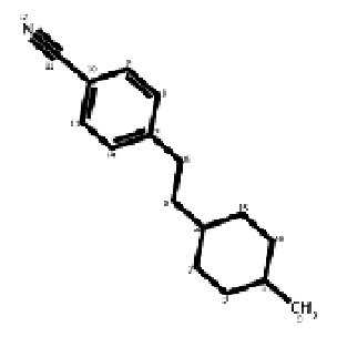 CC1CCC(CCc2ccc(C#N)cc2)CC1